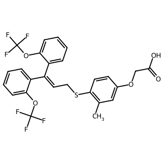 Cc1cc(OCC(=O)O)ccc1SCC=C(c1ccccc1OC(F)(F)F)c1ccccc1OC(F)(F)F